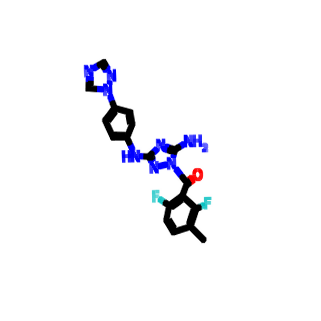 Cc1ccc(F)c(C(=O)n2nc(Nc3ccc(-n4cncn4)cc3)nc2N)c1F